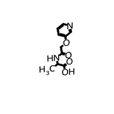 CC(NC(=O)COc1cccnc1)C(=O)O